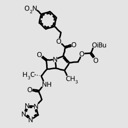 CC(C)COC(=O)OCC1=C(C(=O)OCc2ccc([N+](=O)[O-])cc2)N2C(=O)C([C@@H](C)NC(=O)Cn3cnnn3)C2C1C